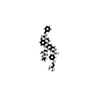 COC(CCOc1cccc(Nc2ncc3cc(N4CCN(C(=O)OCc5ccccc5)c5c(C)cccc54)c(=O)n(CCN(C)C(=O)OC(C)(C)C)c3n2)c1)OC